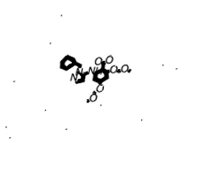 COCOc1cc(Nc2ccnn2Cc2ccccc2)c(C(=O)OC)c(OCOC)c1